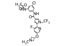 CN1CC(Oc2cnc(-c3cc(C(=O)Nc4cc(Cl)cc(NS(C)(=O)=O)c4)cn3CC(F)(F)F)c(F)c2)C1